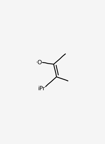 CC([O])=C(C)C(C)C